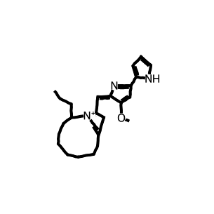 CCCC1CCCCCCCC2=C[N+]1=C(C=C1N=C(c3ccc[nH]3)C=C1OC)C2